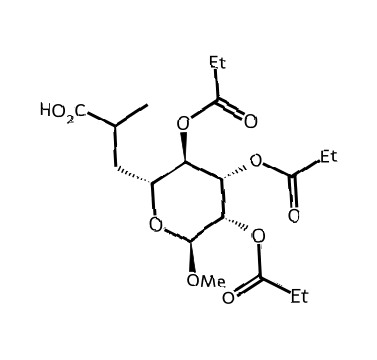 CCC(=O)O[C@@H]1[C@H](OC(=O)CC)[C@@H](OC)O[C@H](CC(C)C(=O)O)[C@H]1OC(=O)CC